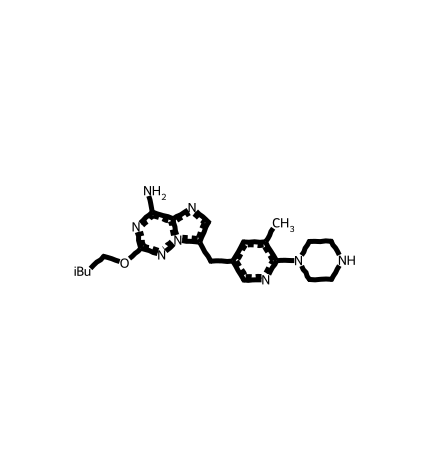 CCC(C)COc1nc(N)c2ncc(Cc3cnc(N4CCNCC4)c(C)c3)n2n1